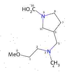 COCCN(C)CC1CCN(C(=O)O)C1